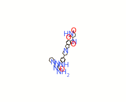 NC(=O)c1ncc(N2CCCCC2)nc1Nc1ccc(C2CCN(C3Cc4ccc5c(C6CCC(=O)NC6=O)noc5c4C3)CC2)cc1